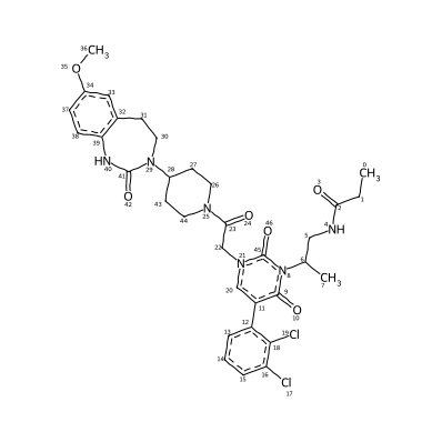 CCC(=O)NCC(C)n1c(=O)c(-c2cccc(Cl)c2Cl)cn(CC(=O)N2CCC(N3CCc4cc(OC)ccc4NC3=O)CC2)c1=O